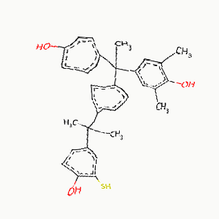 Cc1cc(C(C)(c2ccc(O)cc2)c2ccc(C(C)(C)c3ccc(O)c(S)c3)cc2)cc(C)c1O